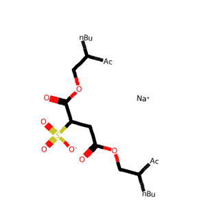 CCCCC(COC(=O)CC(C(=O)OCC(CCCC)C(C)=O)S(=O)(=O)[O-])C(C)=O.[Na+]